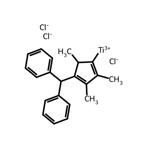 CC1=[C]([Ti+3])C(C)C(C(c2ccccc2)c2ccccc2)=C1C.[Cl-].[Cl-].[Cl-]